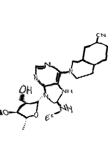 CCNC1Nc2c(N3CCC4CCC(C#N)CC4C3)ncnc2N1[C@@H]1O[C@H](C)[C@@H](O)[C@H]1O